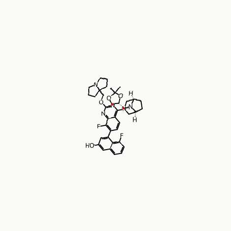 CC1(C)OC[C@@H](CN2[C@@H]3CC[C@H]2CN(c2nc(OCC45CCCN4CCC5)nc4c(F)c(-c5cc(O)cc6cccc(F)c56)ccc24)C3)O1